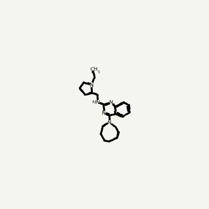 CCN1CCCC1CNc1nc(N2CCCCCCC2)c2ccccc2n1